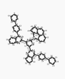 c1ccc(-c2ccc(-c3nc(-c4cc(-c5nc(-c6ccc(-c7ccccc7)cc6)c6ccccc6n5)nc(-n5c6cccc7ccc8cccc5c8c76)n4)nc4ccccc34)cc2)cc1